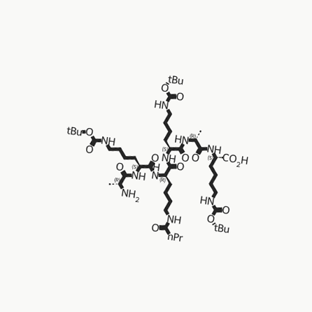 CCCC(=O)NCCCC[C@@H](NC(=O)[C@H](CCCCNC(=O)OC(C)(C)C)NC(=O)[C@@H](C)N)C(=O)N[C@@H](CCCCNC(=O)OC(C)(C)C)C(=O)N[C@H](C)C(=O)N[C@@H](CCCCNC(=O)OC(C)(C)C)C(=O)O